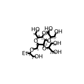 CCC(CO)OCC(OC(CO)CO)C(COC(CO)CO)OC(CO)CO